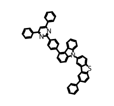 c1ccc(-c2ccc3sc4ccc(-n5c6ccccc6c6c(-c7ccc(-c8nc(-c9ccccc9)cc(-c9ccccc9)n8)cc7)cccc65)cc4c3c2)cc1